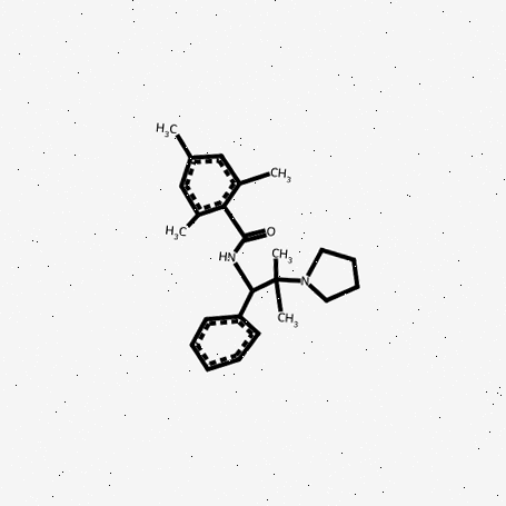 Cc1cc(C)c(C(=O)NC(c2ccccc2)C(C)(C)N2CCCC2)c(C)c1